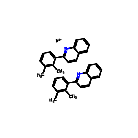 Cc1cccc(-c2ccc3ccccc3n2)c1C.Cc1cccc(-c2ccc3ccccc3n2)c1C.[Ir+3]